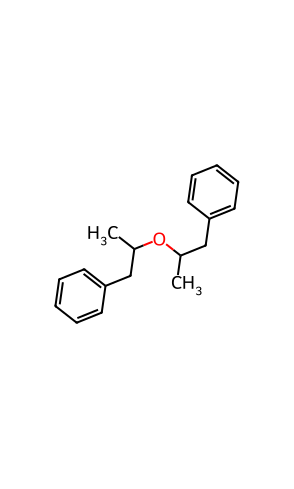 CC(Cc1ccccc1)OC(C)Cc1ccccc1